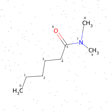 CCCC[CH]C(=O)N(C)C